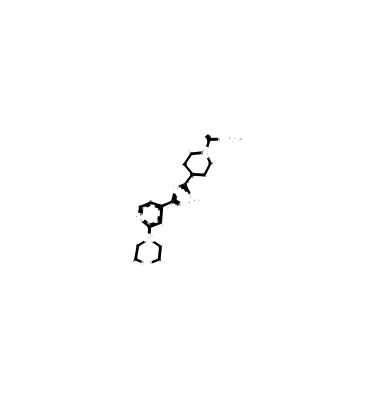 COC(=O)N1CCC(c2noc(-c3ccnc(N4CCOCC4)c3)n2)CC1